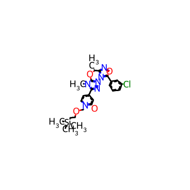 C[C@@H](Oc1nnc(-c2ccn(COCC[Si](C)(C)C)c(=O)c2)n1C)c1noc(-c2cccc(Cl)c2)n1